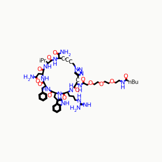 CCCCC(=O)NCCOCCOCCOCC(=O)NC1Cc2cn(nn2)CCCCC(C(N)=O)NC(=O)C(C(C)C)NC(=O)C(CC(N)=O)NC(=O)C(Cc2ccccc2)NC(=O)C(Cc2c[nH]c3ccccc23)NC(=O)C(CCCNC(=N)N)NC1=O